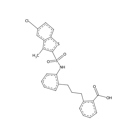 Cc1c(S(=O)(=O)Nc2ccccc2CCCc2ccccc2C(=O)O)sc2ccc(Cl)cc12